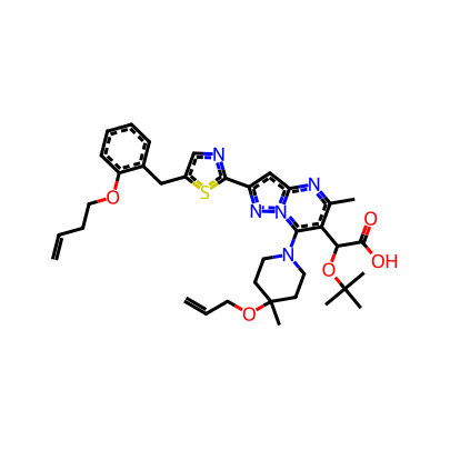 C=CCCOc1ccccc1Cc1cnc(-c2cc3nc(C)c(C(OC(C)(C)C)C(=O)O)c(N4CCC(C)(OCC=C)CC4)n3n2)s1